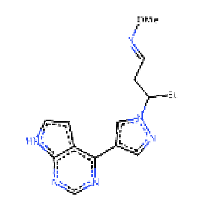 CCC(C/C=N/OC)n1cc(-c2ncnc3[nH]ccc23)cn1